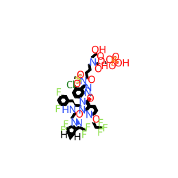 Cn1nc(N(C(=O)CCCN(CC(=O)O)C(=O)OCOP(=O)(O)O)S(C)(=O)=O)c2c(Cl)ccc(-n3c([C@H](Cc4cc(F)cc(F)c4)NC(=O)Cn4nc(C(F)F)c5c4C(F)(F)[C@@H]4C[C@H]54)nc4nc(OCCC(F)(F)F)ccc4c3=O)c21